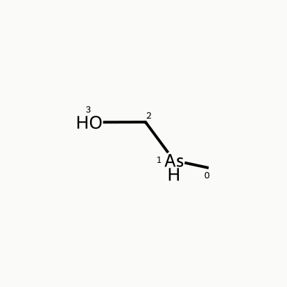 C[AsH]CO